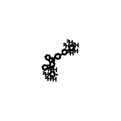 [2H]c1c([2H])c([2H])c(-c2ccc(-c3ccc(-n4c5ccccc5c5c6c7ccccc7n(-c7c([2H])c([2H])c([2H])c(C)c7[2H])c6ccc54)cc3)cc2)c([2H])c1[2H]